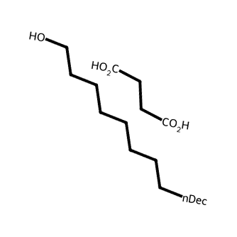 CCCCCCCCCCCCCCCCCCO.O=C(O)CCC(=O)O